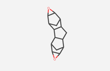 C1C2C3CC(C4OC34)C2C2C1C1CC2C2OC12